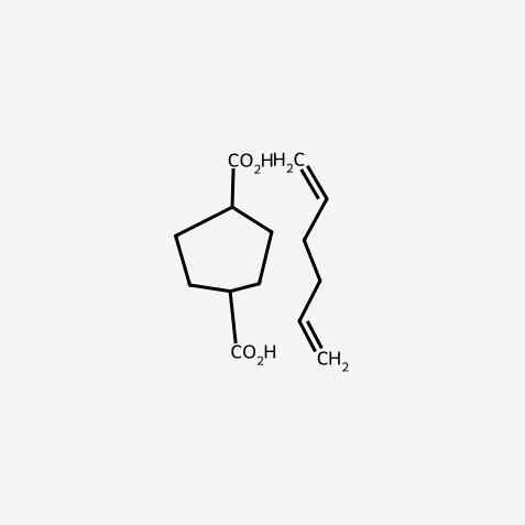 C=CCCC=C.O=C(O)C1CCC(C(=O)O)CC1